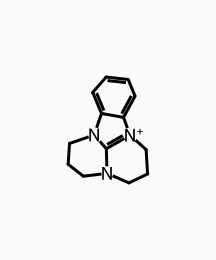 c1ccc2c(c1)n1c3[n+]2CCCN3CCC1